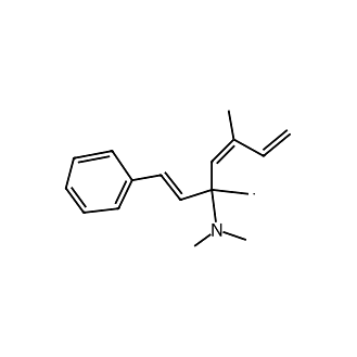 [CH2]C(C=Cc1ccccc1)(C=C(C)C=C)N(C)C